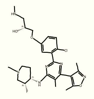 CNC[C@@H](O)COc1ccc(Cl)c(-c2nc(N[C@H]3CCN(C)C[C@H]3F)c(C)c(-c3c(C)noc3C)n2)c1